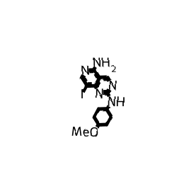 COC1CCC(Nc2ncc3c(N)ncc(I)c3n2)CC1